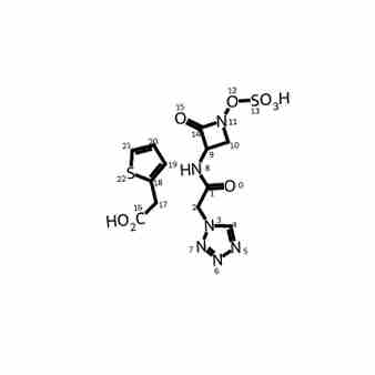 O=C(Cn1cnnn1)NC1CN(OS(=O)(=O)O)C1=O.O=C(O)Cc1cccs1